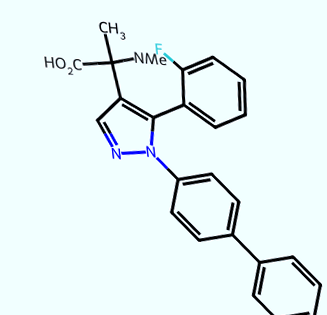 CNC(C)(C(=O)O)c1cnn(-c2ccc(-c3ccccc3)cc2)c1-c1ccccc1F